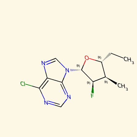 CC[C@H]1O[C@@H](n2cnc3c(Cl)ncnc32)[C@H](F)[C@@H]1C